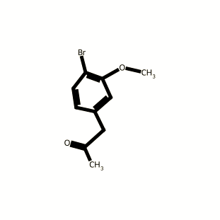 COc1cc(CC(C)=O)ccc1Br